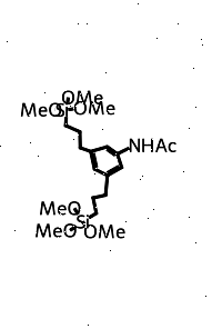 CO[Si](CCCc1cc(CCC[Si](OC)(OC)OC)cc(NC(C)=O)c1)(OC)OC